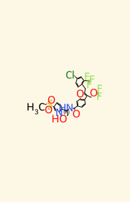 CCS(=O)(=O)c1ccc([C@H](CO)NC(=O)c2ccc3c(COC(F)F)c(Cc4ccc(Cl)cc4C(F)(F)F)oc3c2)nc1